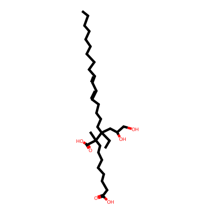 CCCCCCCCCC=CC=CCCCCC(CC)(CC(O)CO)C(C)(CCCCCCCC(=O)O)C(=O)O